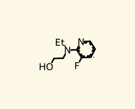 CCN(CCO)c1ncc[c]c1F